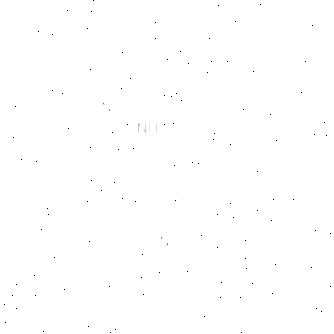 N#Cc1ccc(Cc2ncc[nH]2)cc1Sc1ccc2ccccc2c1